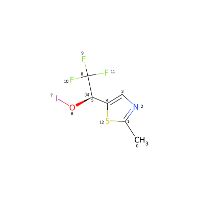 Cc1ncc([C@@H](OI)C(F)(F)F)s1